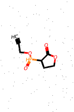 C#CCO[PH](=O)C1CCOC1=O